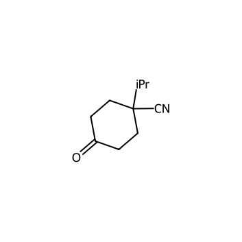 CC(C)C1(C#N)CCC(=O)CC1